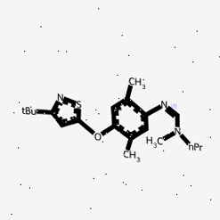 CCCN(C)/C=N\c1cc(C)c(Oc2cc(C(C)(C)C)ns2)cc1C